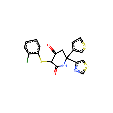 O=C1CC(c2ccsc2)(c2cscn2)NC(=O)C1Sc1ccccc1Cl